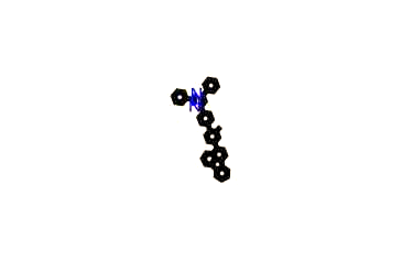 Cc1cc(-c2ccc3c4c(cccc24)-c2ccccc2-3)ccc1-c1ccc(-c2cc(-c3ccccc3)nc(-c3ccccc3)n2)cc1